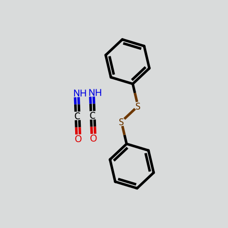 N=C=O.N=C=O.c1ccc(SSc2ccccc2)cc1